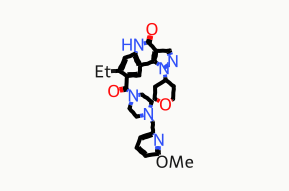 CCc1cc2[nH]c(=O)c3cnn(C4CCOCC4)c3c2cc1C(=O)N1CCN(Cc2cccc(OC)n2)CC1